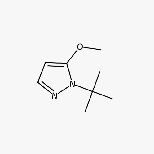 COc1ccnn1C(C)(C)C